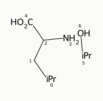 CC(C)CC(N)C(=O)O.CC(C)O